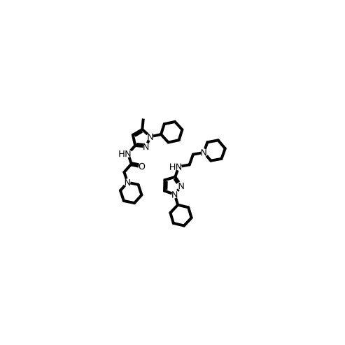 Cc1cc(NC(=O)CN2CCCCC2)nn1C1CCCCC1.c1cn(C2CCCCC2)nc1NCCN1CCCCC1